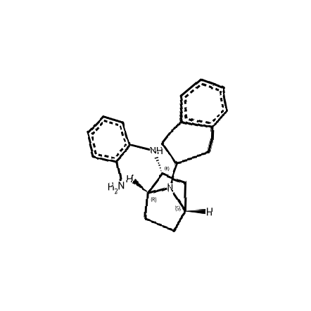 Nc1ccccc1N[C@@H]1C[C@@H]2CC[C@H]1N2C1Cc2ccccc2C1